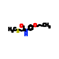 CCCCOc1ccc(N[C@@H](C=O)CCSC)cc1